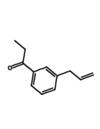 C=CCc1cccc(C(=O)CC)c1